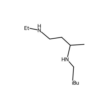 CCNCCC(C)NCC(C)CC